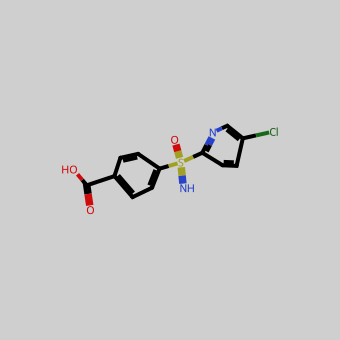 N=S(=O)(c1ccc(C(=O)O)cc1)c1ccc(Cl)cn1